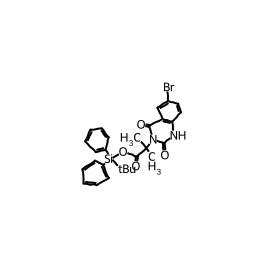 CC(C)(C(=O)O[Si](c1ccccc1)(c1ccccc1)C(C)(C)C)n1c(=O)[nH]c2ccc(Br)cc2c1=O